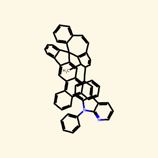 CC1C2=C(C=Cc3ccccc3C23c2ccccc2-c2cc4c5ccccc5c5ccccc5c4cc23)C=CC1c1ccc2c(c1)c1cccnc1n2-c1ccccc1